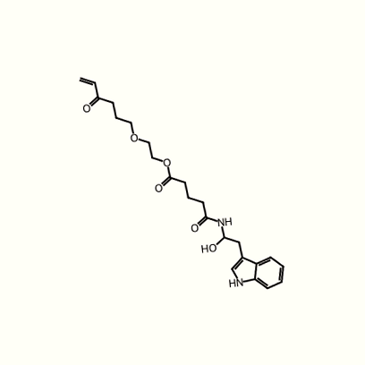 C=CC(=O)CCCOCCOC(=O)CCCC(=O)NC(O)Cc1c[nH]c2ccccc12